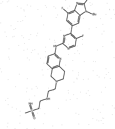 Cc1nc2c(F)cc(-c3nc(Nc4ccc5c(n4)CCN(CCNCCS(C)(=N)=O)C5)ncc3F)cc2n1C(C)(C)C